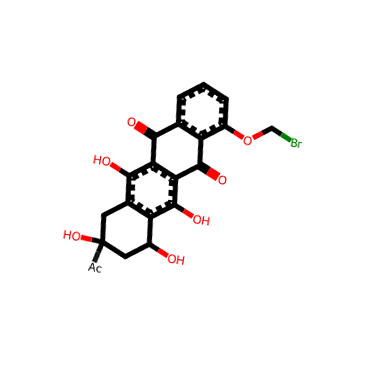 CC(=O)C1(O)Cc2c(O)c3c(c(O)c2C(O)C1)C(=O)c1c(OCBr)cccc1C3=O